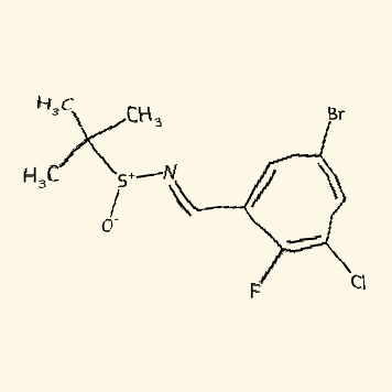 CC(C)(C)[S+]([O-])N=Cc1cc(Br)cc(Cl)c1F